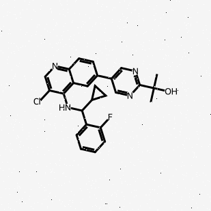 CC(C)(O)c1ncc(-c2ccc3ncc(Cl)c(NC(c4ccccc4F)C4CC4)c3c2)cn1